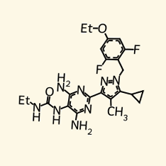 CCNC(=O)Nc1c(N)nc(-c2nn(Cc3c(F)cc(OCC)cc3F)c(C3CC3)c2C)nc1N